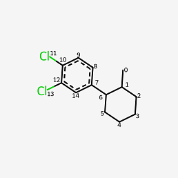 CC1CCCCC1c1ccc(Cl)c(Cl)c1